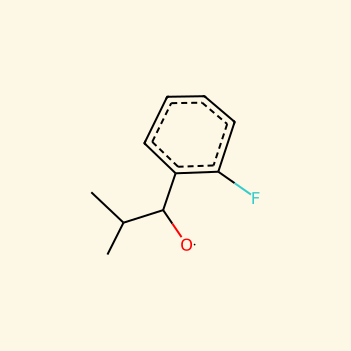 CC(C)C([O])c1ccccc1F